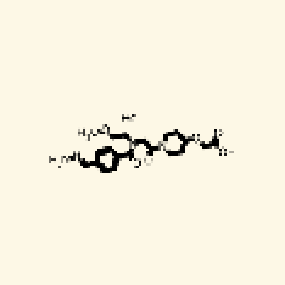 COCCN(CC(=O)N1CCC(OCC(=O)O)CC1)C(=O)c1ccc(C=NN)cc1.Cl